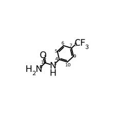 NC(=O)Nc1ccc(C(F)(F)F)cc1